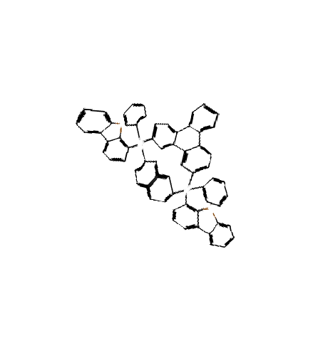 c1ccc([Si](c2ccccc2)(c2ccc3c4ccccc4c4ccc([Si](c5ccccc5)(c5ccccc5)c5cccc6c5sc5ccccc56)cc4c3c2)c2cccc3c2sc2ccccc23)cc1